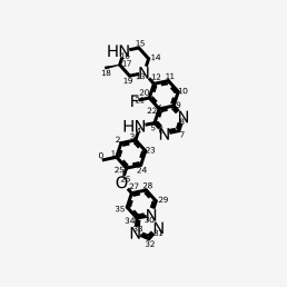 Cc1cc(Nc2ncnc3ccc(N4CCN[C@H](C)C4)c(F)c23)ccc1Oc1ccn2ncnc2c1